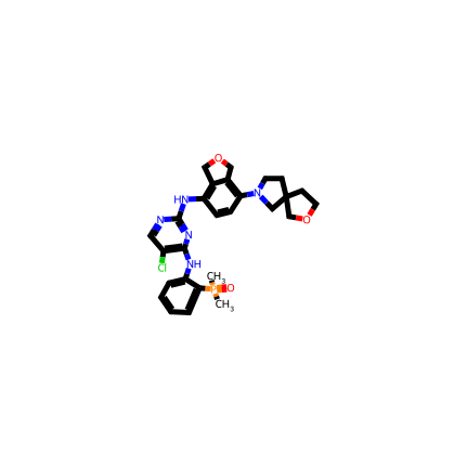 CP(C)(=O)c1ccccc1Nc1nc(Nc2ccc(N3CCC4(CCOC4)C3)c3c2COC3)ncc1Cl